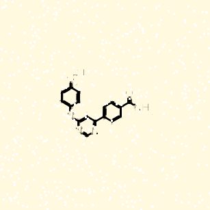 NC(=O)c1ccc(-c2cc(Nc3ccc(OC(F)(F)F)cc3)ncn2)cc1